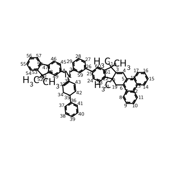 CC1(C)C2=Cc3c(c4ccccc4c4ccccc34)CC2(C)c2ccc(-c3cccc(N(C4=CCC(c5ccccc5)C=C4)c4ccc5c(c4)C(C)(C)c4ccccc4-5)c3)cc21